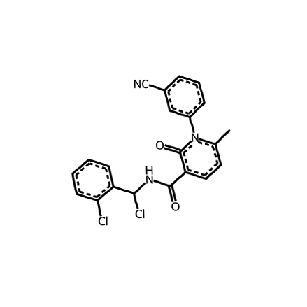 Cc1ccc(C(=O)NC(Cl)c2ccccc2Cl)c(=O)n1-c1cccc(C#N)c1